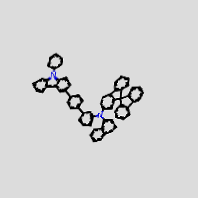 c1ccc(-n2c3ccccc3c3cc(-c4ccc(-c5cccc(N(c6ccc7c(c6)C6(c8ccccc8-c8ccccc86)c6ccccc6-7)c6cccc7ccccc67)c5)cc4)ccc32)cc1